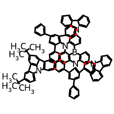 CC(C)(C)c1ccc2c(c1)c1cc(C(C)(C)C)cc3c4cc(-c5cc6c7c(c5)N(c5c(-c8ccccc8)cc(-c8ccccc8)cc5-c5ccccc5)c5cc(-n8c9ccccc9c9ccccc98)ccc5B7c5ccc(-n7c8ccccc8c8ccccc87)cc5N6c5c(-c6ccccc6)cc(-c6ccccc6)cc5-c5ccccc5)ccc4n2c31